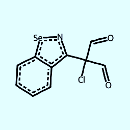 O=CC(Cl)(C=O)c1n[se]c2ccccc12